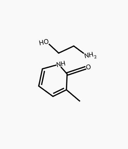 Cc1ccc[nH]c1=O.NCCO